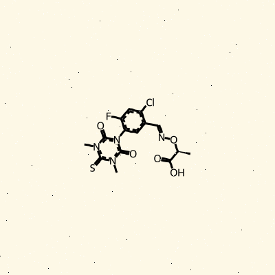 C[C@H](O/N=C/c1cc(-n2c(=O)n(C)c(=S)n(C)c2=O)c(F)cc1Cl)C(=O)O